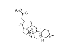 COC(=O)CC[C@@H](C)C1CC[C@H]2[C@@H]3CC[C@@H]4C[C@H](C)CC[C@]4(C)C3=CC(=O)[C@]12C